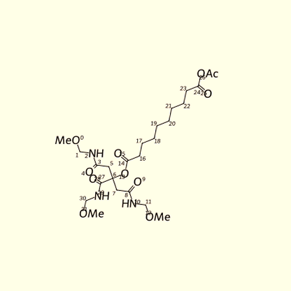 COCNC(=O)CC(CC(=O)NCOC)(OC(=O)CCCCCCCCC(=O)OC(C)=O)C(=O)NCOC